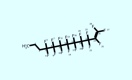 CCCC(F)(F)C(F)(F)C(F)(F)C(F)(F)C(F)(F)C(F)(F)C(F)(F)C(F)=C(F)F